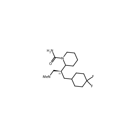 CNC[C@H](CC1CCC(F)(F)CC1)C1CCCCN1C(N)=O